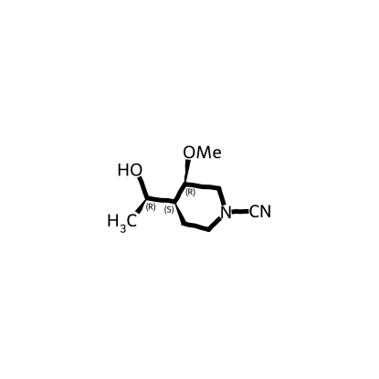 CO[C@H]1CN(C#N)CC[C@H]1[C@@H](C)O